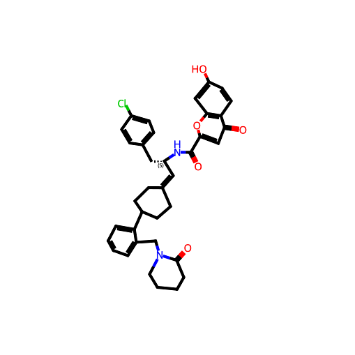 O=C(N[C@H](C=C1CCC(c2ccccc2CN2CCCCC2=O)CC1)Cc1ccc(Cl)cc1)c1cc(=O)c2ccc(O)cc2o1